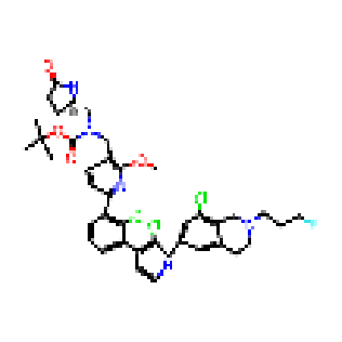 COc1nc(-c2cccc(-c3ccnc(-c4cc(Cl)c5c(c4)CCN(CCCF)C5)c3Cl)c2Cl)ccc1CN(C[C@@H]1CCC(=O)N1)C(=O)OC(C)(C)C